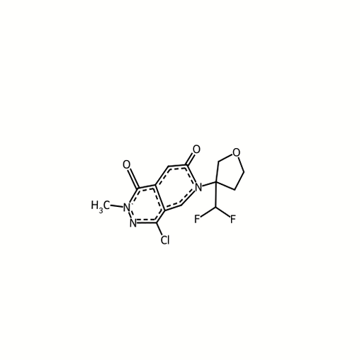 Cn1nc(Cl)c2cn(C3(C(F)F)CCOC3)c(=O)cc2c1=O